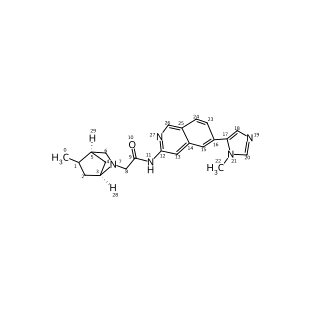 CC1C[C@H]2C[C@@H]1CN2CC(=O)Nc1cc2cc(-c3cncn3C)ccc2cn1